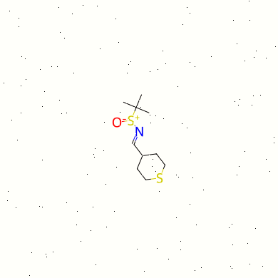 CC(C)(C)[S+]([O-])/N=C/C1CCSCC1